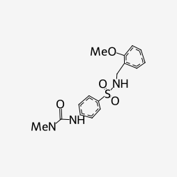 CNC(=O)Nc1ccc(S(=O)(=O)NCc2ccccc2OC)cc1